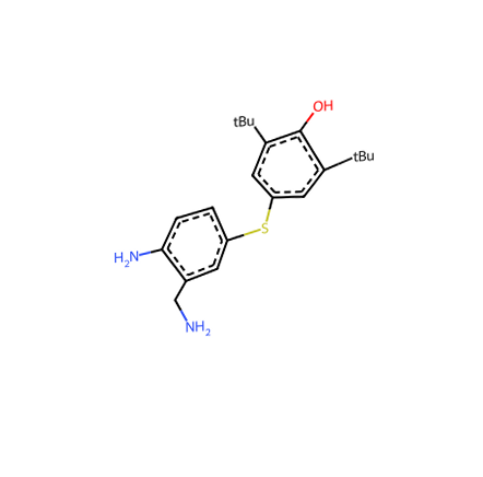 CC(C)(C)c1cc(Sc2ccc(N)c(CN)c2)cc(C(C)(C)C)c1O